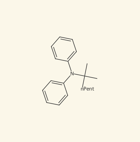 CCCCCC(C)(C)N(c1ccccc1)c1ccccc1